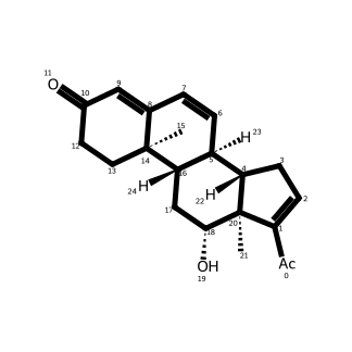 CC(=O)C1=CC[C@H]2[C@@H]3C=CC4=CC(=O)CC[C@]4(C)[C@H]3C[C@@H](O)[C@]12C